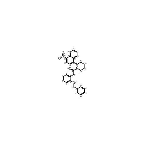 O=C(Cc1ccccc1OCc1ccccc1)N1CCCCN1c1ccc([N+](=O)[O-])c2ccccc12